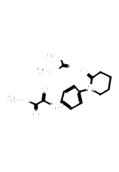 CCCC(=O)OC.COC(=O)C(=O)Nc1ccc(N2CCCCC2=O)cc1